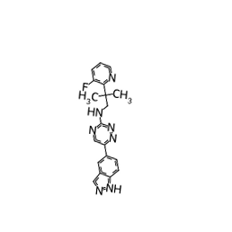 CC(C)(CNc1ncc(-c2ccc3[nH]ncc3c2)nn1)c1ncccc1F